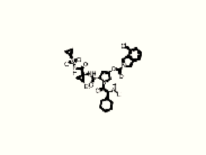 CC[C@@H]1C[C@]1(NC(=O)[C@@H]1C[C@@H](OC(=O)N2Cc3cccc(Cl)c3C2)CN1C(=O)[C@@H](NCl)C1CCCCC1)C(=O)NS(=O)(=O)C1CC1